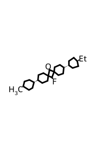 CC[C@H]1CC[C@H](C2CCC3(CC2)C(=O)C2(CCC([C@H]4CC[C@H](C)CC4)CC2)C3F)CC1